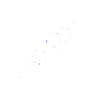 CC(O)(c1ccc(NC(=O)c2ccc(C(F)(F)F)cc2F)cc1)C(F)(F)F